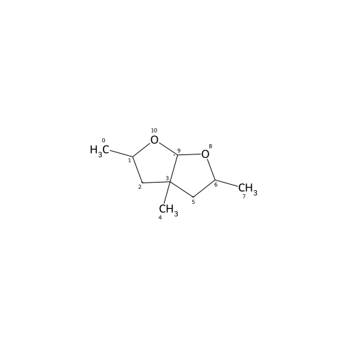 CC1CC2(C)CC(C)O[C]2O1